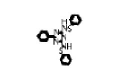 c1ccc(SNc2nc(NSc3ccccc3)nc(-c3ccccc3)n2)cc1